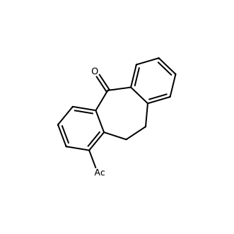 CC(=O)c1cccc2c1CCc1ccccc1C2=O